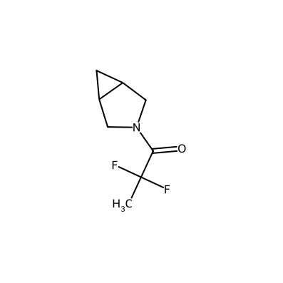 CC(F)(F)C(=O)N1CC2CC2C1